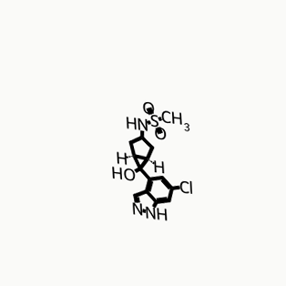 CS(=O)(=O)NC1C[C@@H]2[C@H](C1)C2(O)c1cc(Cl)cc2[nH]ncc12